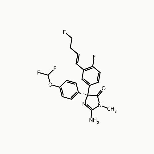 CN1C(=O)[C@](c2ccc(OC(F)F)cc2)(c2ccc(F)c(C=CCCF)c2)N=C1N